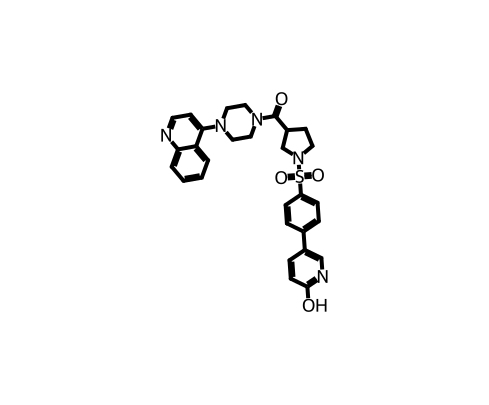 O=C(C1CCN(S(=O)(=O)c2ccc(-c3ccc(O)nc3)cc2)C1)N1CCN(c2ccnc3ccccc23)CC1